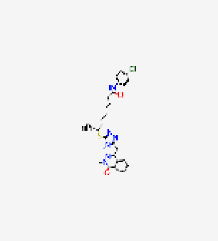 CCCC(CCCCCCC(=O)Nc1ccc(Cl)cc1)Sc1nnc(Cc2nn(C)c(=O)c3ccccc23)n1C